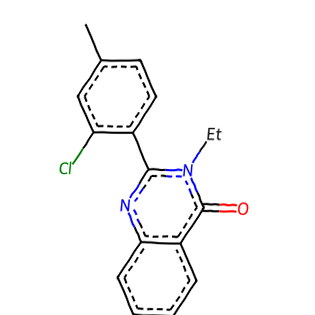 CCn1c(-c2ccc(C)cc2Cl)nc2ccccc2c1=O